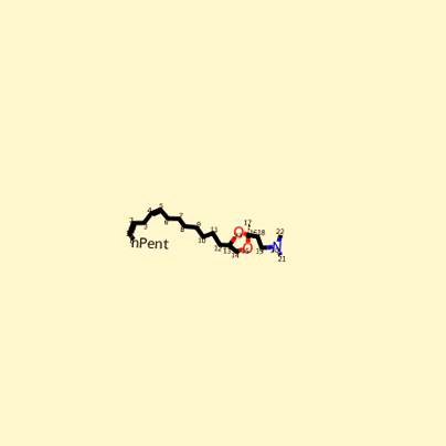 CCCCC/C=C\C/C=C\CCCCCCCC1CO[C@](C)(CCN(C)C)O1